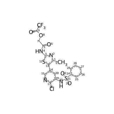 Cc1nc(NC(=O)COC(=O)C(F)(F)F)sc1-c1cnc(Cl)c(NS(=O)(=O)c2ccccc2)c1